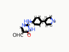 O=Cc1cnc(Nc2ccc(-c3ccncc3)cc2)[nH]c1=O